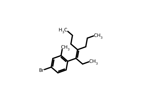 CCCC(CCC)=C(CC)c1ccc(Br)cc1C